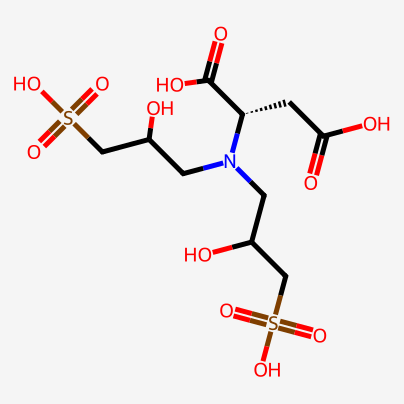 O=C(O)C[C@@H](C(=O)O)N(CC(O)CS(=O)(=O)O)CC(O)CS(=O)(=O)O